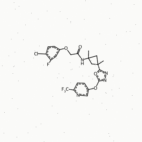 CC1(NC(=O)COc2ccc(Cl)c(F)c2)CC(C)(c2nnc(Oc3ccc(C(F)(F)F)nc3)o2)C1